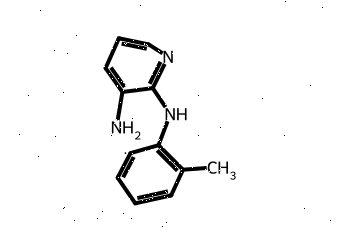 Cc1ccc[c]c1Nc1ncccc1N